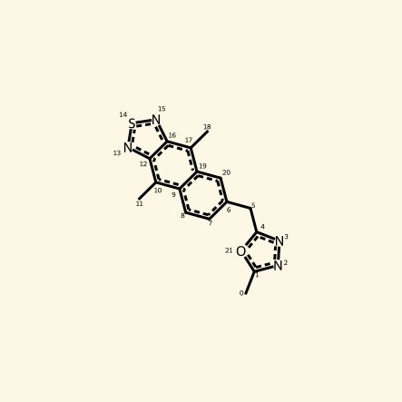 Cc1nnc(Cc2ccc3c(C)c4nsnc4c(C)c3c2)o1